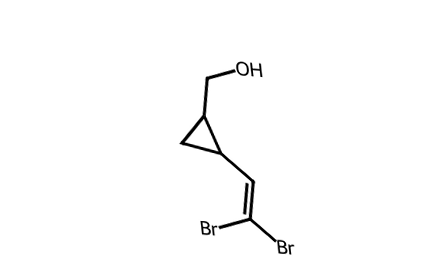 OCC1CC1C=C(Br)Br